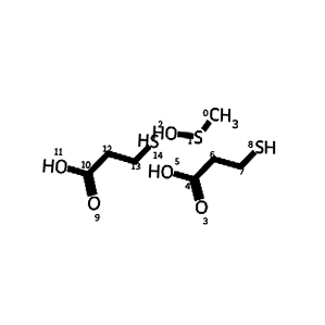 CSO.O=C(O)CCS.O=C(O)CCS